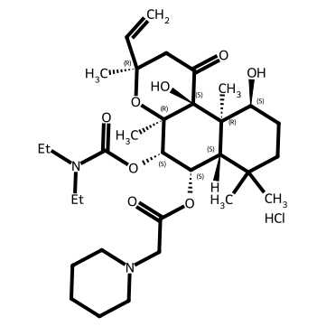 C=C[C@@]1(C)CC(=O)[C@]2(O)[C@@]3(C)[C@@H](O)CCC(C)(C)[C@@H]3[C@H](OC(=O)CN3CCCCC3)[C@H](OC(=O)N(CC)CC)[C@@]2(C)O1.Cl